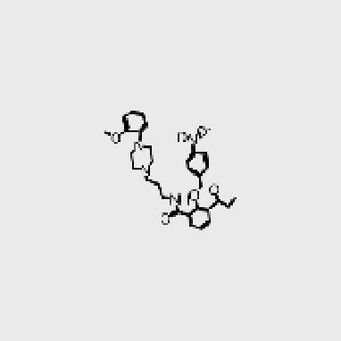 CCC(=O)c1cccc(C(=O)NCCCN2CCN(c3ccccc3OC)CC2)c1OCc1ccc([N+](=O)[O-])cc1